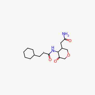 NC(=O)CC1COCC(=O)C1NC(=O)[CH]CC1CCCCC1